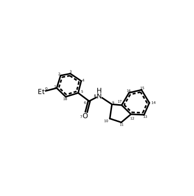 CCc1cccc(C(=O)NC2CCc3ccccc32)c1